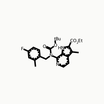 CCOC(=O)c1[nH]c2c(N(Cc3ccc(F)cc3C)C(=O)OC(C)(C)C)nccc2c1C